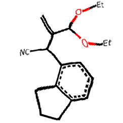 C=C(C(OCC)OCC)C(C#N)c1cccc2c1CCC2